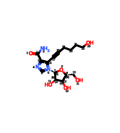 NC(=O)c1ncn([C@@H]2O[C@H](CO)[C@@H](O)[C@H]2O)c1C#CCCCCO